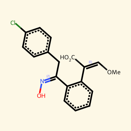 CO/C=C(/C(=O)O)c1ccccc1/C(Cc1ccc(Cl)cc1)=N\O